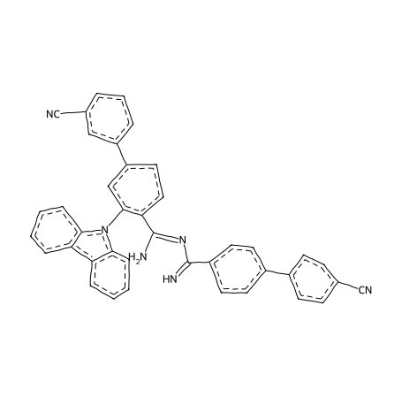 N#Cc1ccc(-c2ccc(C(=N)/N=C(\N)c3ccc(-c4cccc(C#N)c4)cc3-n3c4ccccc4c4ccccc43)cc2)cc1